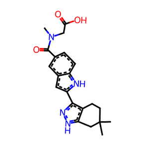 CN(CC(=O)O)C(=O)c1ccc2[nH]c(-c3n[nH]c4c3CCC(C)(C)C4)cc2c1